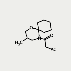 CC(=O)CC(=O)N1CC(C)COC12CCCCC2